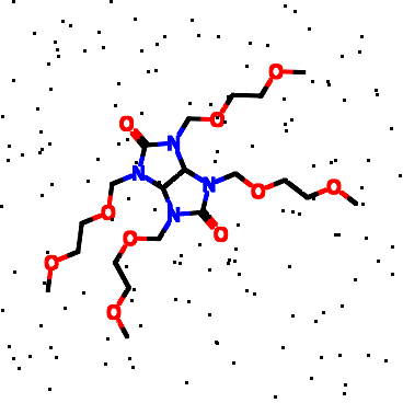 COCCOCN1C(=O)N(COCCOC)C2C1N(COCCOC)C(=O)N2COCCOC